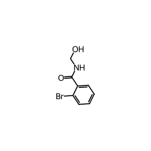 O=C(NCO)c1ccccc1Br